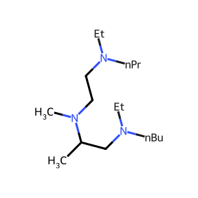 CCCCN(CC)CC(C)N(C)CCN(CC)CCC